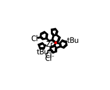 CC(C)(C)c1ccc2c(c1)Cc1c-2ccc(C(C)(C)C)[c]1[Zr+2](=[C](c1cccc(Cl)c1)c1cccc2ccccc12)[CH]1C=CC=C1.[Cl-].[Cl-]